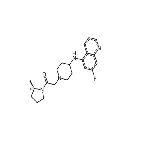 C[C@@H]1CCCN1C(=O)CN1CCC(Nc2cc(F)cc3ncccc23)CC1